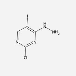 NNc1nc(Cl)ncc1I